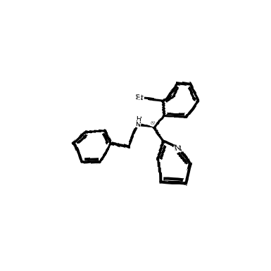 CCc1ccccc1[C@H](NCc1ccccc1)c1ccccn1